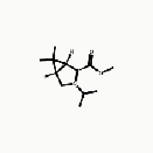 COC(=O)[C@@H]1[C@@H]2[C@H](CN1C(C)C)C2(C)C